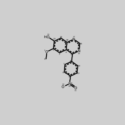 COc1cc2c(-c3ccc([N+](=O)[O-])cc3)ncnc2cc1O